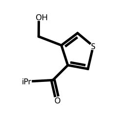 CC(C)C(=O)c1cscc1CO